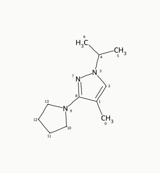 Cc1cn(C(C)C)nc1N1CCCC1